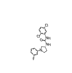 O=C(Nc1cc(Cl)ccc1Cl)N[C@@H]1CCN(c2cccc(F)c2)C1